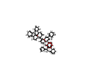 c1ccc(N(c2ccc(-c3ccc(-c4ccccc4-n4c5ccccc5c5ccccc54)cc3)cc2)c2ccccc2-c2cccc3c2oc2ccccc23)c(-c2cc3ccccc3c3ccccc23)c1